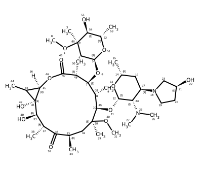 CO[C@]1(C)C[C@H](O[C@H]2[C@H](C)[C@@H](O[C@@H]3O[C@H](C)C[C@@H](N4CC[C@H](O)C4)[C@@H]3N(C)C)[C@@](C)(OC)C[C@@H](C)C(=O)[C@H](C)[C@@H](O)[C@@]3(O)C(C)[C@H]3OC(=O)[C@@H]2C)O[C@@H](C)[C@@H]1O